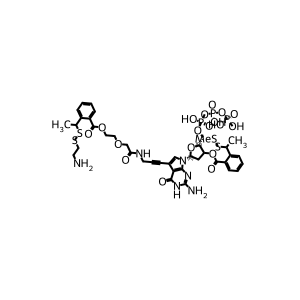 CSSC(C)c1ccccc1C(=O)OC1C[C@H](n2cc(C#CCNC(=O)COCCOC(=O)c3ccccc3C(C)SSCCN)c3c(=O)[nH]c(N)nc32)O[C@@H]1COP(=O)(O)OP(=O)(O)OP(=O)(O)O